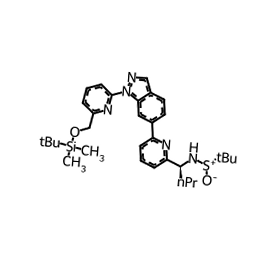 CCC[C@H](N[S@@+]([O-])C(C)(C)C)c1cccc(-c2ccc3cnn(-c4cccc(CO[Si](C)(C)C(C)(C)C)n4)c3c2)n1